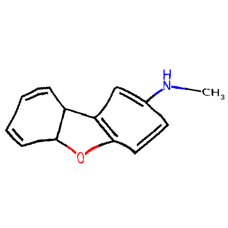 CNc1ccc2c(c1)C1C=CC=CC1O2